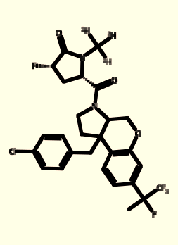 [2H]C([2H])([2H])N1C(=O)[C@@H](F)C[C@H]1C(=O)N1CCC2(Cc3ccc(Cl)cc3)c3ccc(C(C)(F)C(F)(F)F)cc3OCC12